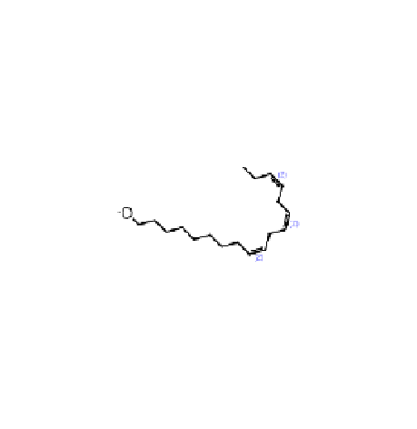 CC/C=C\C/C=C\C/C=C\CCCCCCCC[O]